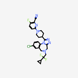 N#Cc1nc(N2CCC(c3nnc4n3-c3ccc(Cl)cc3CN(CC(F)(F)C3CC3)C4)CC2)ccc1F